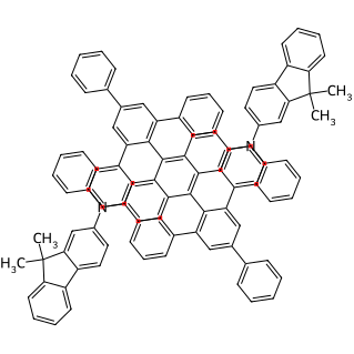 CC1(C)c2ccccc2-c2ccc(N(c3ccccc3)c3ccc4c(-c5c(-c6ccccc6)cc(-c6ccccc6)cc5-c5ccccc5)c5cc(N(c6ccccc6)c6ccc7c(c6)C(C)(C)c6ccccc6-7)ccc5c(-c5c(-c6ccccc6)cc(-c6ccccc6)cc5-c5ccccc5)c4c3)cc21